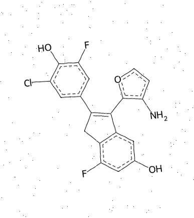 Nc1ccoc1C1=C(c2cc(F)c(O)c(Cl)c2)Cc2c(F)cc(O)cc21